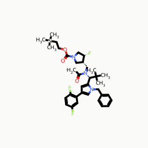 [CH2]C(=O)N(C[C@@H]1CN(C(=O)OCC[Si](C)(C)C)C[C@@H]1F)[C@@H](c1cc(-c2cc(F)ccc2F)cn1Cc1ccccc1)C(C)(C)C